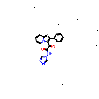 O=C(Nn1cnnc1)C(=O)c1c(-c2ccccc2)cc2ccccn12